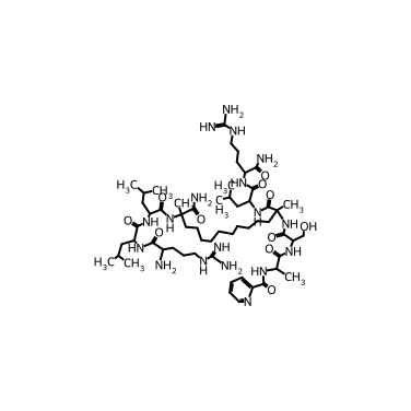 CC(C)CC(NC(=O)C(N)CCCNC(=N)N)C(=O)NC(CC(C)C)C(=O)NC(C)(CCCCCCCCCCC(C)(NC(=O)C(CO)NC(=O)C(C)NC(=O)c1ccccn1)C(=O)NC(CC(C)C)C(=O)NC(CCCNC(=N)N)C(N)=O)C(N)=O